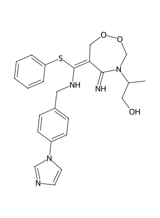 CC(CO)N1COOC/C(=C(/NCc2ccc(-n3ccnc3)cc2)Sc2ccccc2)C1=N